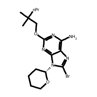 CCCC(C)(C)COc1nc(N)c2nc(Br)n([C@H]3CCCCO3)c2n1